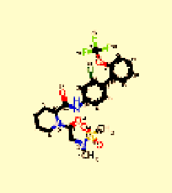 CN(CC(=O)N1CCCCC1C(=O)Nc1ccc(-c2ccccc2OC(F)(F)F)c(Cl)c1)S(C)(=O)=O